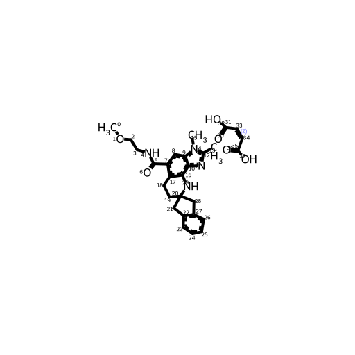 COCCNC(=O)c1cc2c(nc(C)n2C)c2c1CCC1(Cc3ccccc3C1)N2.O=C(O)/C=C\C(=O)O